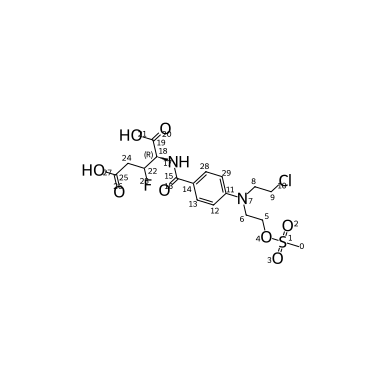 CS(=O)(=O)OCCN(CCCl)c1ccc(C(=O)N[C@H](C(=O)O)C(F)CC(=O)O)cc1